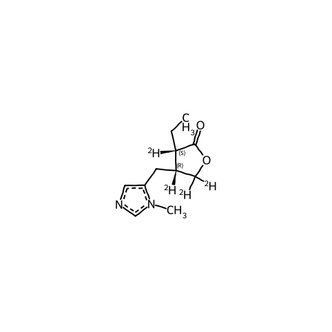 [2H]C1([2H])OC(=O)[C@@]([2H])(CC)[C@@]1([2H])Cc1cncn1C